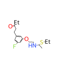 CCSC(C)NCCOc1cc(F)cc(CCC(=O)CC)c1